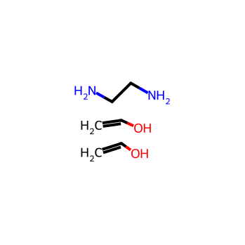 C=CO.C=CO.NCCN